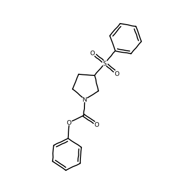 O=C(Oc1ccccc1)N1CCC(S(=O)(=O)c2ccccc2)C1